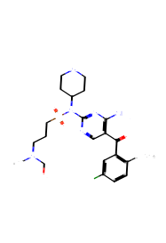 CCCN(CO)CCCS(=O)(=O)N(c1ncc(C(=O)c2cc(F)ccc2OC)c(N)n1)C1CCNCC1